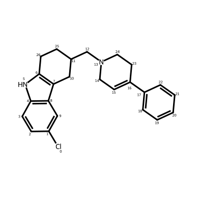 Clc1ccc2[nH]c3c(c2c1)CC(CN1CC=C(c2ccccc2)CC1)CC3